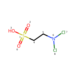 O=S(=O)(O)CCN(Cl)Cl